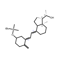 C=C1CCC(O[Si](C)(C)C(C)(C)C)C/C1=C\C=C1/CCC[C@@]2(C)C1CC[C@@H]2[C@H](C)O